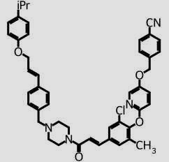 Cc1cc(/C=C/C(=O)N2CCN(Cc3ccc(/C=C/COc4ccc(C(C)C)cc4)cc3)CC2)cc(Cl)c1Oc1ccc(OCc2ccc(C#N)cc2)cn1